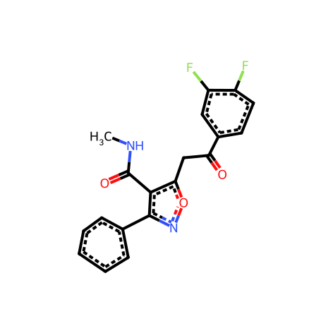 CNC(=O)c1c(-c2ccccc2)noc1CC(=O)c1ccc(F)c(F)c1